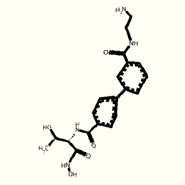 C[C@@H](O)[C@H](NC(=O)c1ccc(-c2cccc(C(=O)NCCN)c2)cc1)C(=O)NO